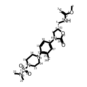 COC(=S)NC[C@H]1CN(c2ccc(N3CCN(S(=O)(=O)N(C)C)CC3)c(F)c2)C(=O)O1